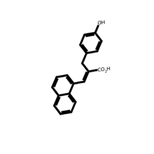 O=C(O)C(=Cc1cccc2ccccc12)Cc1ccc(O)cc1